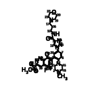 CN1CCN(c2ccc(-n3cc(C(=O)NCCCN4CCOCC4)nn3)cc2NC(=O)c2nnc(S(C)(=O)=O)cc2C(F)(F)F)CC1